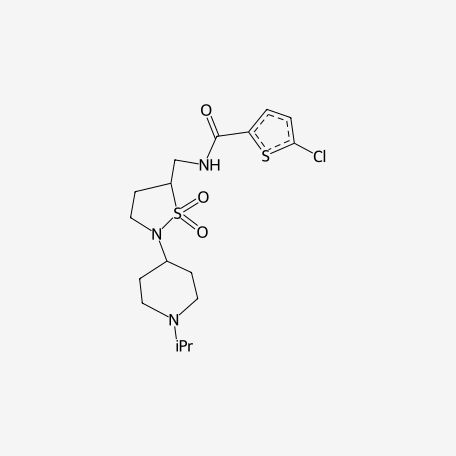 CC(C)N1CCC(N2CCC(CNC(=O)c3ccc(Cl)s3)S2(=O)=O)CC1